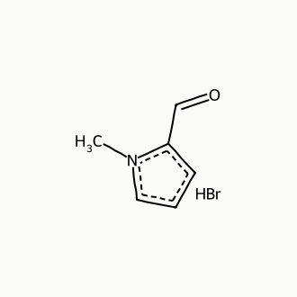 Br.Cn1cccc1C=O